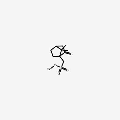 CC1(C)C2CCC1(CS(=O)(=O)OBr)C(=O)C2